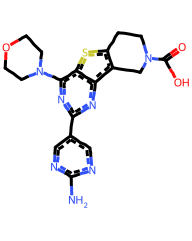 Nc1ncc(-c2nc(N3CCOCC3)c3sc4c(c3n2)CN(C(=O)O)CC4)cn1